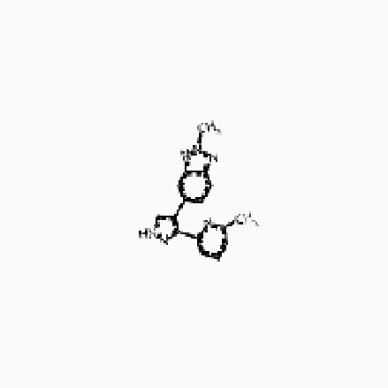 Cc1cccc(-c2n[nH]cc2-c2ccc3nn(C)nc3c2)n1